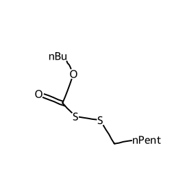 CCCCCCSSC(=O)OCCCC